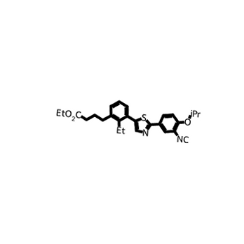 [C-]#[N+]c1cc(-c2ncc(-c3cccc(CCCC(=O)OCC)c3CC)s2)ccc1OC(C)C